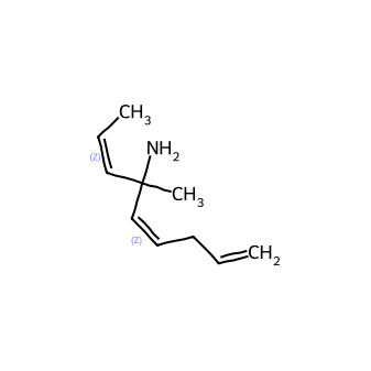 C=CC/C=C\C(C)(N)/C=C\C